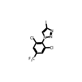 FC(F)(F)c1cc(Cl)c(-n2cc(I)nn2)c(Cl)c1